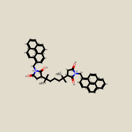 CCCCC(C)(CCCC(C)(CCC)C1CC(=O)N(Cc2ccc3ccc4cccc5ccc2c3c45)C1=O)C1CC(=O)N(Cc2ccc3ccc4cccc5ccc2c3c45)C1=O